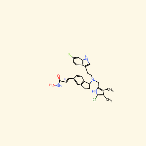 Cc1c(Cl)[nH]c(CN(CCc2c[nH]c3cc(F)ccc23)C2CCc3cc(/C=C/C(=O)NO)ccc32)c1C